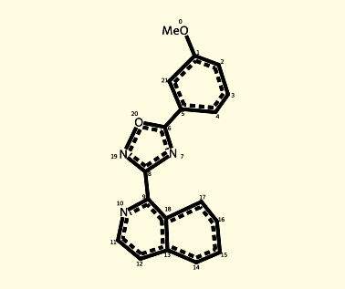 COc1cccc(-c2nc(-c3nccc4ccccc34)no2)c1